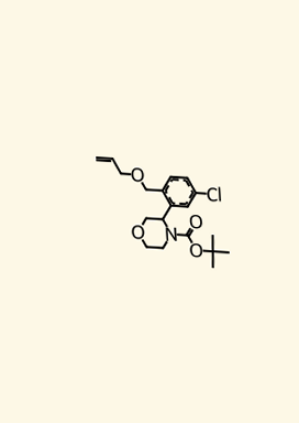 C=CCOCc1ccc(Cl)cc1C1COCCN1C(=O)OC(C)(C)C